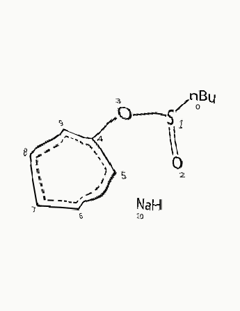 CCCCS(=O)Oc1ccccc1.[NaH]